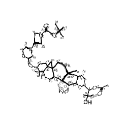 CC(=O)OC(C1C[C@@H](C)C2C(O1)[C@H](O)[C@@]1(C)C3CC[C@H]4C(C)(C)C(OC5CN(C6CN(C(=O)OC(C)(C)C)C6)CCO5)CCC45CC35CCC21C)C(C)(C)O